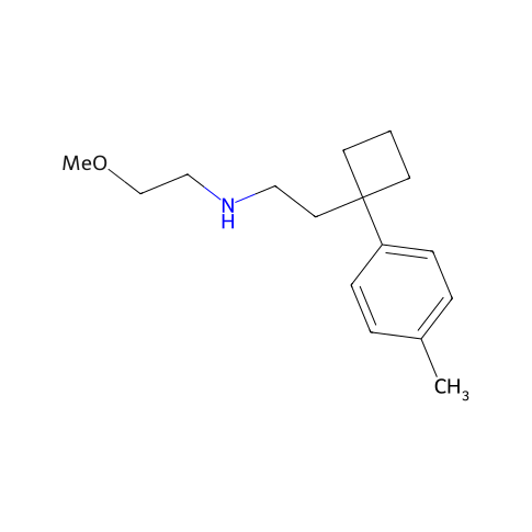 COCCNCCC1(c2ccc(C)cc2)CCC1